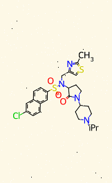 Cc1nc(CN(C2CCN(C3CCN(C(C)C)CC3)C2=O)S(=O)(=O)c2ccc3cc(Cl)ccc3c2)cs1